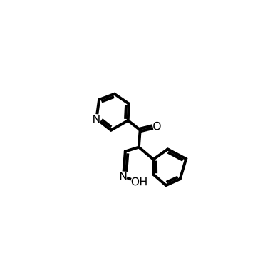 O=C(c1cccnc1)C(/C=N\O)c1ccccc1